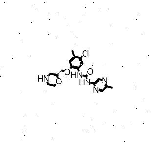 Cc1cnc(NC(=O)Nc2cc(Cl)c(C)cc2OC[C@H]2CNCCO2)cn1